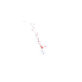 C=CCOCCOCCOCCOCCOCCOC(=O)CCN